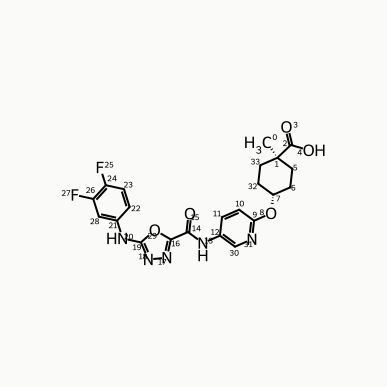 C[C@]1(C(=O)O)CC[C@H](Oc2ccc(NC(=O)c3nnc(Nc4ccc(F)c(F)c4)o3)cn2)CC1